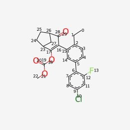 CCc1ccc(-c2ccc(Cl)cc2F)cc1C1=C(OC(=O)OC)C2CCC(C2)C1=O